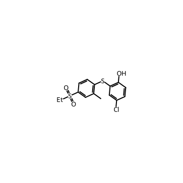 CCS(=O)(=O)c1ccc(Sc2cc(Cl)ccc2O)c(C)c1